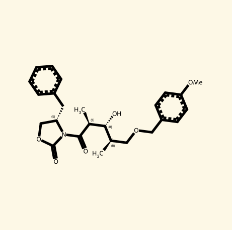 COc1ccc(COC[C@@H](C)[C@@H](O)[C@H](C)C(=O)N2C(=O)OC[C@@H]2Cc2ccccc2)cc1